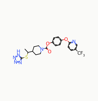 CC(Sc1nnn[nH]1)C1CCN(C(=O)Oc2ccc(Oc3ccc(C(F)(F)F)cn3)cc2)CC1